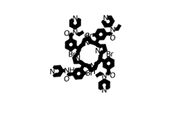 CCN(C(=O)c1ccc(Br)c(-c2c3nc(c(-c4cc(C(=O)N(CC)c5ccncc5)ccc4Br)c4ccc([nH]4)c(-c4cc(C(=O)N(CC)c5ccncc5)ccc4Br)c4nc(c(-c5cc(C(=O)Nc6ccncc6)ccc5Br)c5ccc2[nH]5)C=C4)C=C3)c1)c1ccncc1